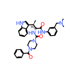 C[C@H](c1c[nH]c2ccccc12)[C@@H](NC(=O)N1CCN(C(=O)c2ccccc2)CC1)C(=O)Nc1cccc(CN(C)C)c1